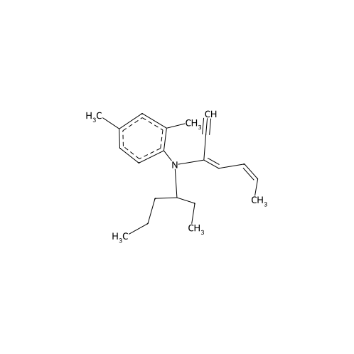 C#C/C(=C\C=C/C)N(c1ccc(C)cc1C)C(CC)CCC